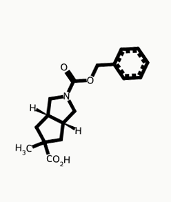 CC1(C(=O)O)C[C@H]2CN(C(=O)OCc3ccccc3)C[C@H]2C1